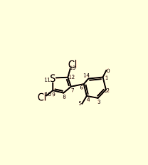 Cc1[c]cc(C)c(-c2cc(Cl)sc2Cl)c1